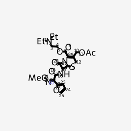 CCN(CC)CCOC(=O)C1=C(COC(C)=O)CSC2[C@H](NC(=O)/C(=N\OC)c3ccco3)C(=O)N12